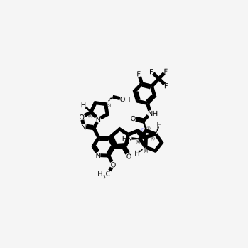 COc1ncc(C2=NO[C@@H]3C[C@H](CO)CN23)cc1C(=O)N[C@H]1[C@@H](C(=O)Nc2ccc(F)c(C(F)(F)F)c2)[C@H]2CC[C@@H]1/C2=C\C1CCCC1